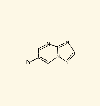 CC(C)c1cnc2ncnn2c1